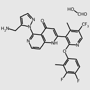 Cc1c(Oc2ncc(C(F)(F)F)c(C)c2-c2cc(=O)c3c(-n4nccc4CN)nccc3[nH]2)ccc(F)c1F.O=CO